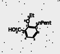 CCCCCc1cccc(C(=O)O)c1OCC